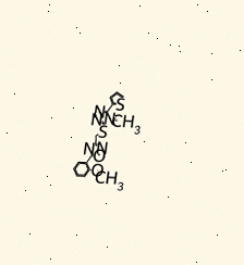 COc1ccccc1-c1nc(CSc2nnc(-c3cccs3)n2C)no1